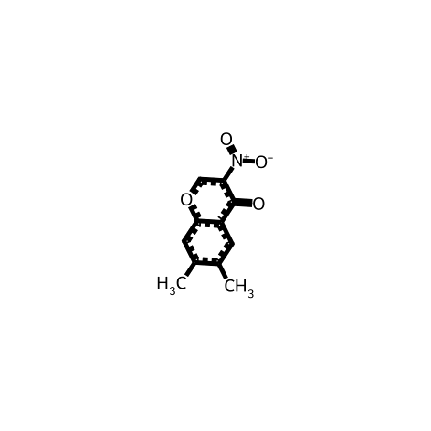 Cc1cc2occ([N+](=O)[O-])c(=O)c2cc1C